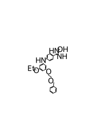 CCOc1cc(Nc2ccc(C(=N)NO)cc2)cc(OCCOCc2ccccc2)c1